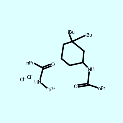 CCCC(=O)NC1CCCC(C(C)CC)(C(C)CC)C1.CCCC(=O)[NH][Ti+2].[Cl-].[Cl-]